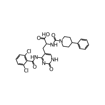 O=C(Nc1nc(=O)[nH]cc1CC(NC(=O)N1CCC(c2ccccc2)CC1)C(=O)O)c1c(Cl)cccc1Cl